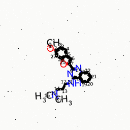 COc1ccc2cc(-c3nc(NCCCN(C)C)c4ccccc4n3)oc2c1